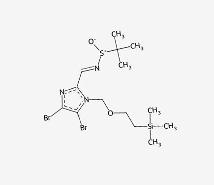 CC(C)(C)[S+]([O-])N=Cc1nc(Br)c(Br)n1COCC[Si](C)(C)C